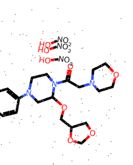 O=C(CN1CCOCC1)N1CCN(c2ccccc2)CC1OCC1COCO1.O=[N+]([O-])O.O=[N+]([O-])O.O=[N+]([O-])O